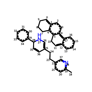 C1=c2ccc3c(c2CCC1)CC=c1ccccc1=3.Cc1ccc(CCC2=CNC(c3ccccc3)C=C2)cn1